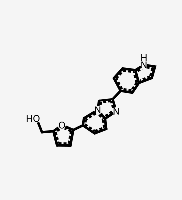 OCc1ccc(-c2ccc3nc(-c4ccc5[nH]ccc5c4)cn3c2)o1